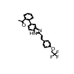 CC(=O)c1ccccc1-c1ccc2[nH]c(/C=C/c3ccc(OCC(F)(F)F)cc3)nc2c1